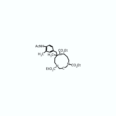 CCOC(=O)N1CCCN(C(=O)OCC)CCC(C)(Cc2ccc(NC(C)=O)c(C)c2)N(C(=O)OCC)CCC1